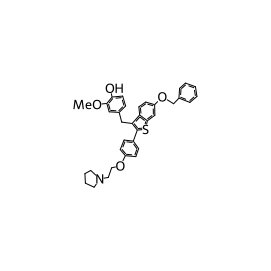 COc1cc(Cc2c(-c3ccc(OCCN4CCCC4)cc3)sc3cc(OCc4ccccc4)ccc23)ccc1O